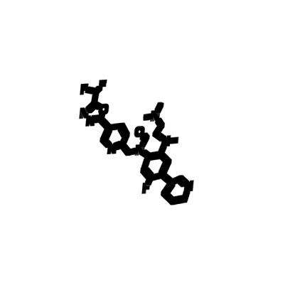 CN(C)CCN(C)c1cc(-c2cccnc2)c(F)cc1N(C=O)Cc1ccc(-c2nnc(C(F)F)o2)cn1